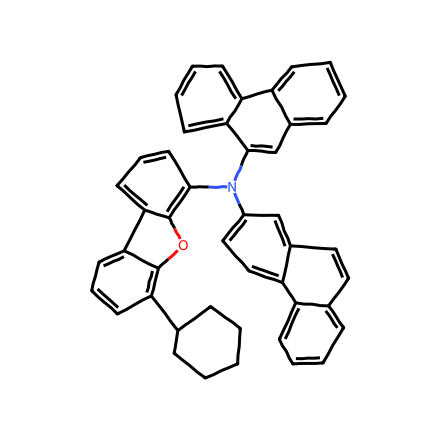 c1ccc2c(c1)ccc1cc(N(c3cc4ccccc4c4ccccc34)c3cccc4c3oc3c(C5CCCCC5)cccc34)ccc12